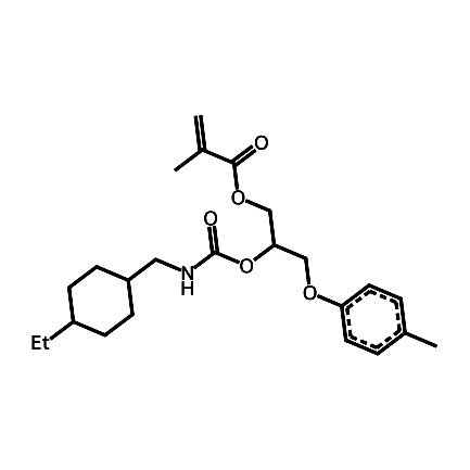 C=C(C)C(=O)OCC(COc1ccc(C)cc1)OC(=O)NCC1CCC(CC)CC1